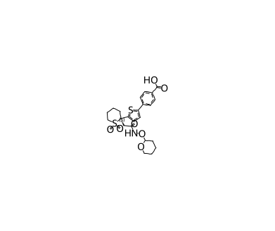 O=C(C[C@]1(c2ccc(-c3ccc(C(=O)O)cc3)s2)CCCCS1(=O)=O)NOC1CCCCO1